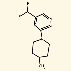 CC1CCN(c2cncc(C(F)F)c2)CC1